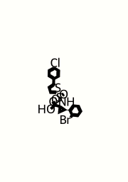 O=C(O)[C@@]1(NS(=O)(=O)c2ccc(-c3ccc(Cl)cc3)s2)C[C@H]1c1ccccc1Br